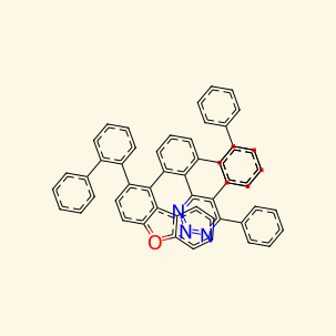 c1ccc(-c2ccccc2-c2cccc(-c3c(-c4ccccc4-c4ccccc4)ccc4oc5ccccc5c34)c2-c2nnnc(-c3ccccc3)c2-c2ccccc2)cc1